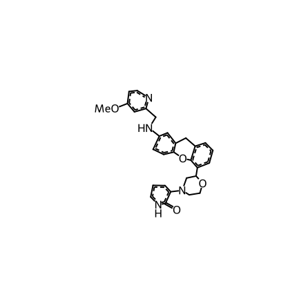 COc1ccnc(CNc2ccc3c(c2)Cc2cccc(C4CN(c5ccc[nH]c5=O)CCO4)c2O3)c1